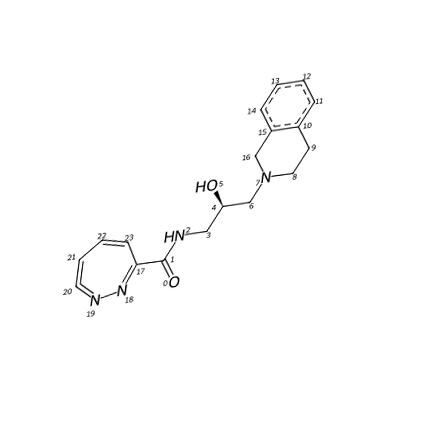 O=C(NC[C@@H](O)CN1CCc2ccccc2C1)C1=NN=C=CC=C1